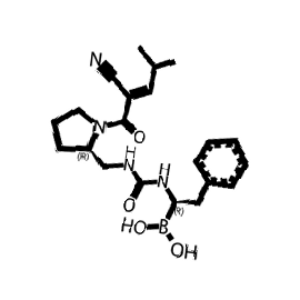 CC(C)C=C(C#N)C(=O)N1CCC[C@@H]1CNC(=O)N[C@@H](Cc1ccccc1)B(O)O